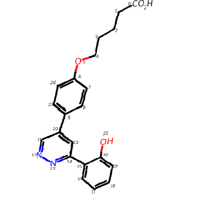 O=C(O)CCCCOc1ccc(-c2cnnc(-c3ccccc3O)c2)cc1